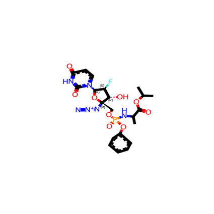 CC(C)OC(=O)C(C)NP(=O)(OC[C@@]1(N=[N+]=[N-])O[C@@H](n2ccc(=O)[nH]c2=O)[C@@H](F)[C@@H]1O)Oc1ccccc1